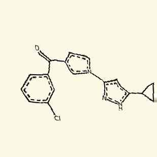 O=C(c1cccc(Cl)c1)c1ccn(-c2cc(C3CC3)[nH]n2)c1